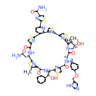 Cc1sc2nc1C(=O)N[C@@H]([C@H](O)c1ccccc1)c1nc(cs1)C(=O)N[C@@H](Cc1ccc(OCc3cnc[nH]3)cc1)C(=O)N1C[C@H](O)[C@H](C)[C@H]1c1nc(cs1)-c1nc(cs1)-c1nc(-c3nc(C(N)=O)cs3)ccc1-c1nc(cs1)C(=O)N[C@H]2CC(N)=O